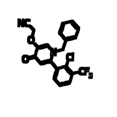 N#CCOc1cn(Cc2ccccc2)c(-c2cccc(C(F)(F)F)c2Cl)cc1=O